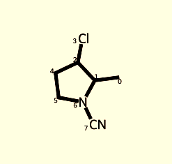 CC1C(Cl)CCN1C#N